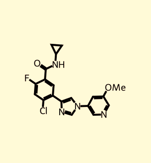 COc1cncc(-n2cnc(-c3cc(C(=O)NC4CC4)c(F)cc3Cl)c2)c1